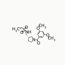 C=CS(=O)(=O)NC[C@H]1CCN(C(=O)c2cc(OC)cc(OC)c2)C1